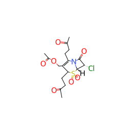 CC(=O)CCC1=C(COC(C)=O)C(CCC(C)=O)S(=O)(=O)[C@H]2[C@@H](Cl)C(=O)N12